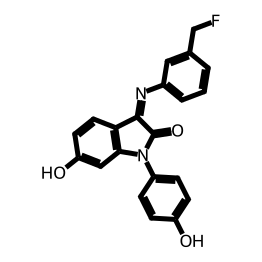 O=C1C(=Nc2cccc(CF)c2)c2ccc(O)cc2N1c1ccc(O)cc1